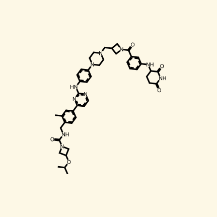 Cc1cc(-c2ccnc(Nc3ccc(N4CCN(CC5CN(C(=O)c6cccc(NC7CCC(=O)NC7=O)c6)C5)CC4)cc3)n2)ccc1CNC(=O)N1CC(OC(C)C)C1